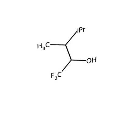 CC(C)C(C)C(O)C(F)(F)F